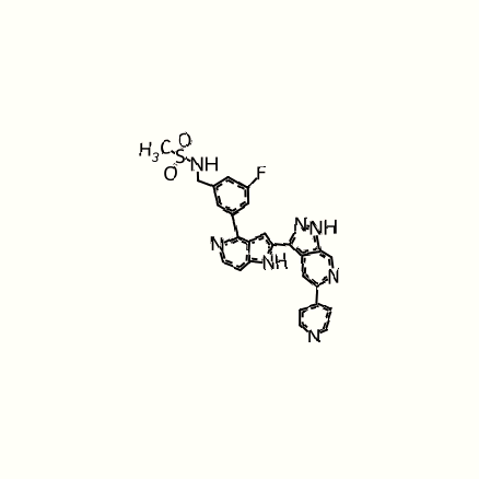 CS(=O)(=O)NCc1cc(F)cc(-c2nccc3[nH]c(-c4n[nH]c5cnc(-c6ccncc6)cc45)cc23)c1